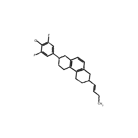 CCC=CC1CCc2c(ccc3c2CCC(c2cc(F)c(Cl)c(F)c2)C3)C1